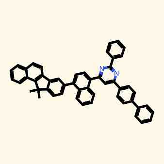 CC1(C)c2ccc(-c3ccc(-c4cc(-c5ccc(-c6ccccc6)cc5)nc(-c5ccccc5)n4)c4ccccc34)cc2-c2ccc3ccccc3c21